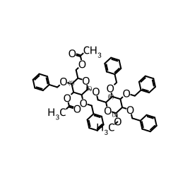 CO[C@H]1OC(CO[C@H]2OC(COC(C)=O)[C@H](OCc3ccccc3)C(OC(C)=O)C2OCc2ccccc2)[C@@H](OCc2ccccc2)C(OCc2ccccc2)C1OCc1ccccc1